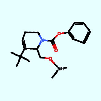 C[SiH](C)OCC1C(C(C)(C)C)=CCCN1C(=O)Oc1ccccc1